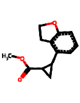 COC(=O)C1CC1c1cccc2c1CCO2